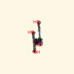 CC/C=C/C/C=C/C/C=C/CCCCCCCCCCCC(=O)O.O=C(O)/C=C/c1ccc(C(F)(F)F)c(F)c1.O=C(O)CCCCCCCCCCCCCCCCCCCCCCCCC(=O)O.O=C(O)[C@H]1CCCC[C@H]1C(=O)Nc1ccccc1